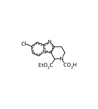 CCOC(=O)C1c2c(nc3cc(Cl)ccn23)CCN1C(=O)O